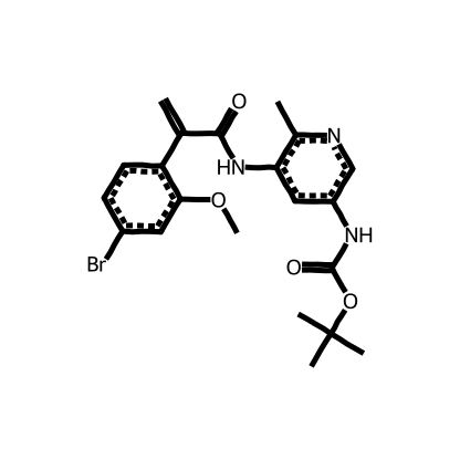 C=C(C(=O)Nc1cc(NC(=O)OC(C)(C)C)cnc1C)c1ccc(Br)cc1OC